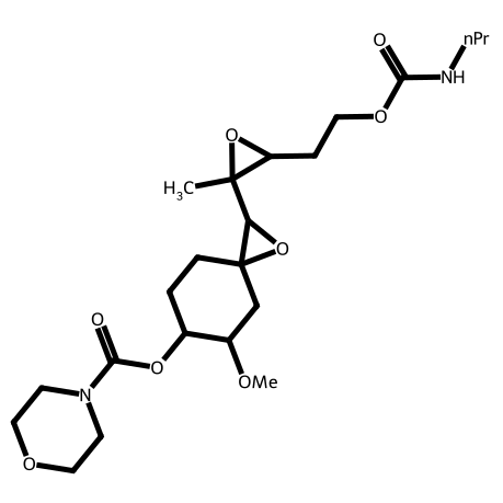 CCCNC(=O)OCCC1OC1(C)C1OC12CCC(OC(=O)N1CCOCC1)C(OC)C2